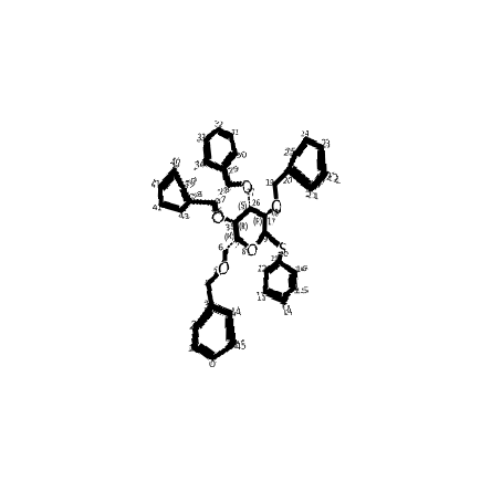 c1ccc(COC[C@H]2OC(Sc3ccccc3)[C@H](OCc3ccccc3)[C@@H](OCc3ccccc3)[C@@H]2OCc2ccccc2)cc1